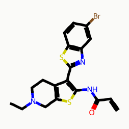 C=CC(=O)Nc1sc2c(c1-c1nc3cc(Br)ccc3s1)CCN(CC)C2